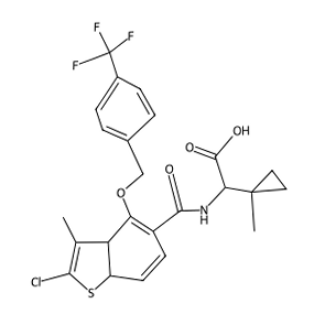 CC1=C(Cl)SC2C=CC(C(=O)NC(C(=O)O)C3(C)CC3)=C(OCc3ccc(C(F)(F)F)cc3)C12